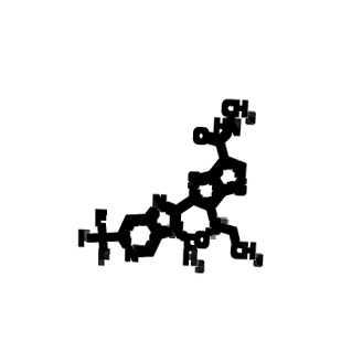 CC[S+]([O-])c1c(-c2nc3cc(C(F)(F)F)ncc3n2C)sc2c(C(=O)NC)csc12